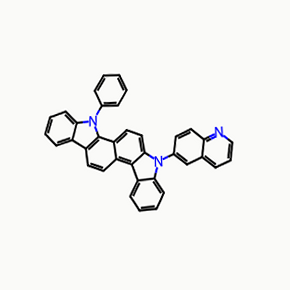 c1ccc(-n2c3ccccc3c3ccc4c(ccc5c4c4ccccc4n5-c4ccc5ncccc5c4)c32)cc1